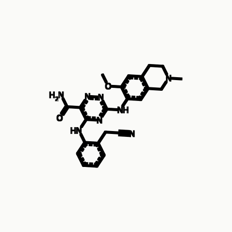 COc1cc2c(cc1Nc1nnc(C(N)=O)c(Nc3ccccc3CC#N)n1)CN(C)CC2